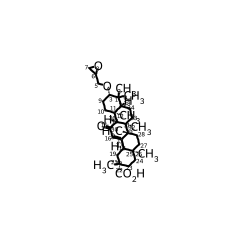 CC1(C)[C@@H](OCC2CO2)CC[C@]2(C)[C@H]3C(=O)C=C4[C@@H]5C[C@@](C)(C(=O)O)CC[C@]5(C)CC[C@@]4(C)[C@]3(C)CC[C@@H]12